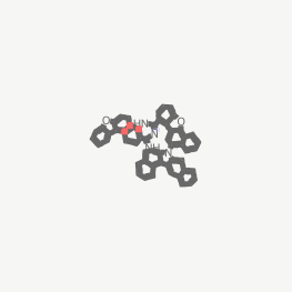 N=C(/N=C(\NCC1C=c2c(oc3ccccc23)=CC1)c1cccc2oc3c4ccccc4c(-n4c5cc6ccccc6cc5c5c6ccccc6ccc54)cc3c12)c1ccccc1